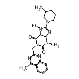 CCN1C(N2CCCC(N)C2)=NC2C1C(=O)N(Cc1nc(C)c3ccccc3n1)C(=O)N2C